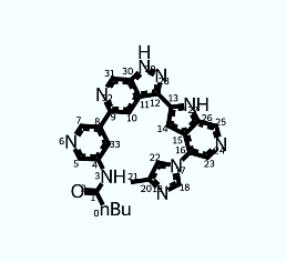 CCCCC(=O)Nc1cncc(-c2cc3c(-c4cc5c(-n6cnc(C)c6)cncc5[nH]4)n[nH]c3cn2)c1